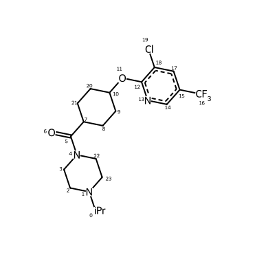 CC(C)N1CCN(C(=O)C2CCC(Oc3ncc(C(F)(F)F)cc3Cl)CC2)CC1